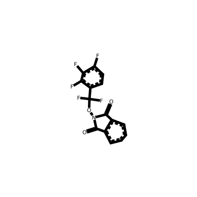 O=C1c2ccccc2C(=O)N1OC(F)(F)c1ccc(F)c(F)c1F